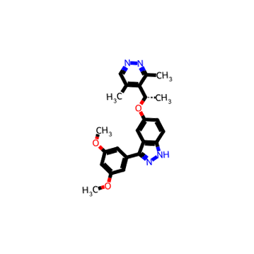 COc1cc(OC)cc(-c2n[nH]c3ccc(O[C@@H](C)c4c(C)cnnc4C)cc23)c1